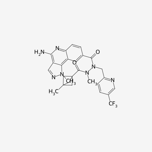 CN(C(=O)C12CC(C)(C1)C2)N(Cc1ccc(C(F)(F)F)cn1)C(=O)c1ccc2nc(N)c3cnn(C)c3c2c1